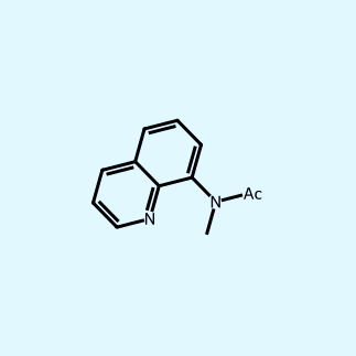 CC(=O)N(C)c1cccc2cccnc12